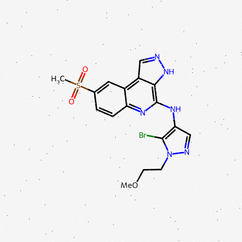 COCCn1ncc(Nc2nc3ccc(S(C)(=O)=O)cc3c3cn[nH]c23)c1Br